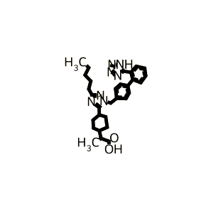 CCCCCc1nc(C2CCC(C(C)C(=O)O)CC2)n(Cc2ccc(-c3ccccc3-c3nnn[nH]3)cc2)n1